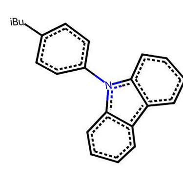 CCC(C)c1ccc(-n2c3ccccc3c3ccccc32)cc1